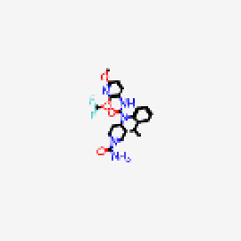 COc1ccc(NC(=O)N(c2ccccc2C(C)C)C2CCN(C(N)=O)CC2)c(OC(F)F)n1